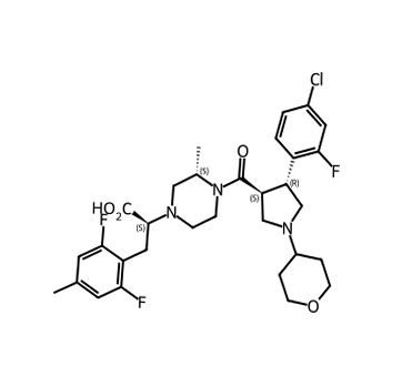 Cc1cc(F)c(C[C@@H](C(=O)O)N2CCN(C(=O)[C@@H]3CN(C4CCOCC4)C[C@H]3c3ccc(Cl)cc3F)[C@@H](C)C2)c(F)c1